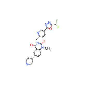 Cn1c(=O)n(Cc2ccc(-c3nnc(C(F)F)o3)cn2)c(=O)c2cc(-c3ccncc3)ccc21